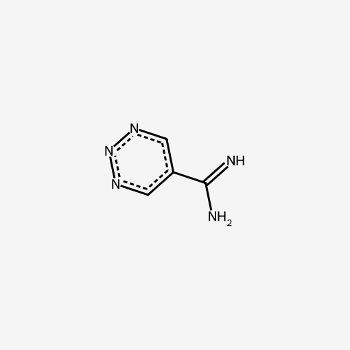 N=C(N)c1cnnnc1